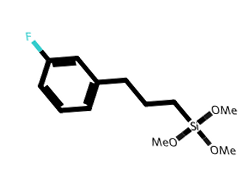 CO[Si](CCCc1cccc(F)c1)(OC)OC